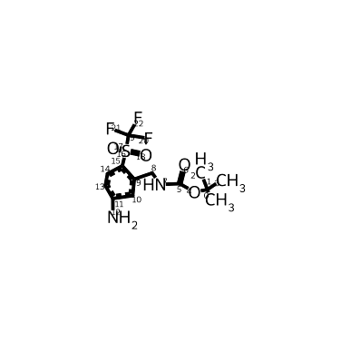 CC(C)(C)OC(=O)NCc1cc(N)ccc1S(=O)(=O)C(F)(F)F